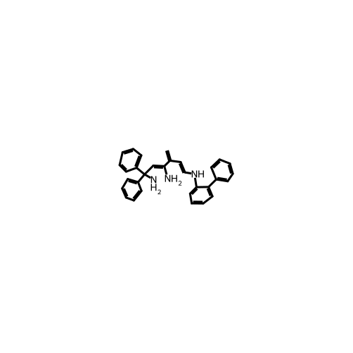 C=C(/C=C/Nc1ccccc1-c1ccccc1)/C(N)=C/C(N)(c1ccccc1)c1ccccc1